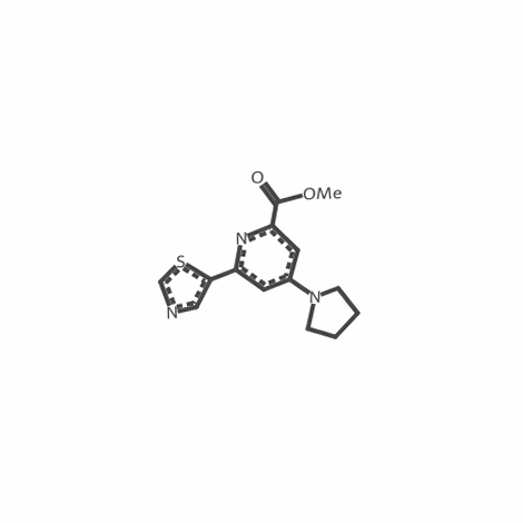 COC(=O)c1cc(N2CCCC2)cc(-c2cncs2)n1